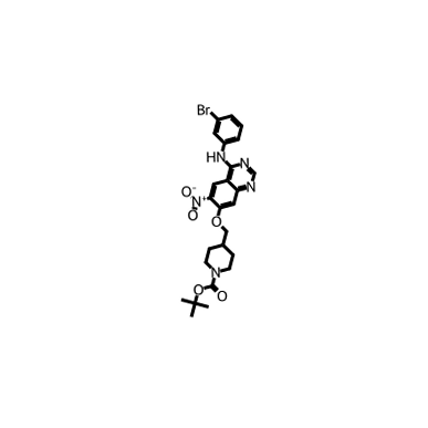 CC(C)(C)OC(=O)N1CCC(COc2cc3ncnc(Nc4cccc(Br)c4)c3cc2[N+](=O)[O-])CC1